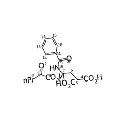 CCCC(=O)C(=O)O.O=C(O)CCC(NC(=O)c1ccccc1)C(=O)O